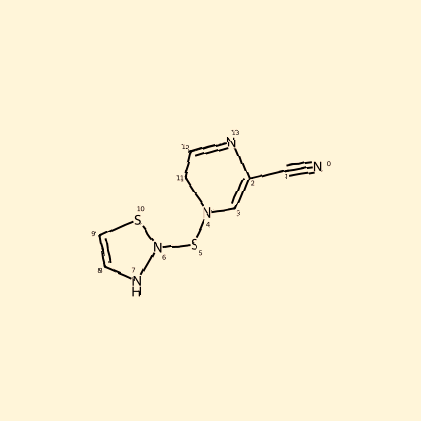 N#CC1=CN(SN2NC=CS2)CC=N1